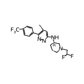 Cc1cc(N[C@@H]2CCCN(CC(F)F)C2)nnc1-c1ccc(C(F)(F)F)cc1